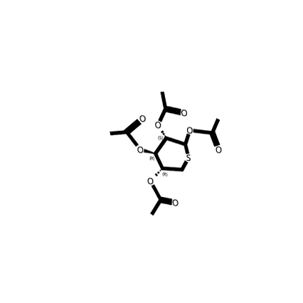 CC(=O)OC1SC[C@H](OC(C)=O)[C@@H](OC(C)=O)[C@@H]1OC(C)=O